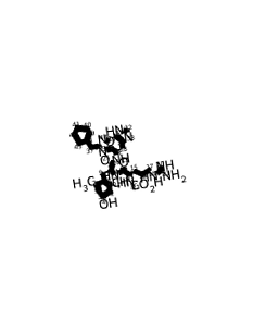 Cc1cc(O)cc(C)c1C[C@H](NC(=O)[C@@H](CCCNC(=N)N)NC(=O)O)C(=O)N[C@@H](Cc1c[nH]cn1)c1nc(Cc2ccccc2)no1